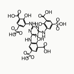 O=C(O)c1cc(S(=O)(=O)O)cc(Nc2nc(Nc3cc(S(=O)(=O)O)cc(C(=O)O)c3O)nc(Nc3cc(S(=O)(=O)O)cc(C(=O)O)c3O)n2)c1O